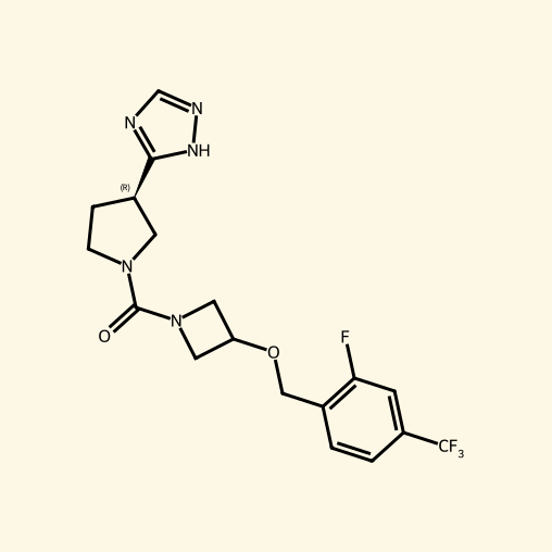 O=C(N1CC(OCc2ccc(C(F)(F)F)cc2F)C1)N1CC[C@@H](c2ncn[nH]2)C1